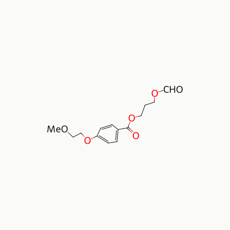 COCCOc1ccc(C(=O)OCCCOC=O)cc1